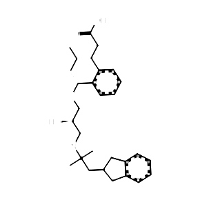 CCC[C@@H](OC[C@H](O)CNC(C)(C)CC1Cc2ccccc2C1)c1ccccc1CCC(=O)O